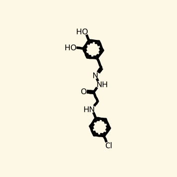 O=C(CNc1ccc(Cl)cc1)NN=Cc1ccc(O)c(O)c1